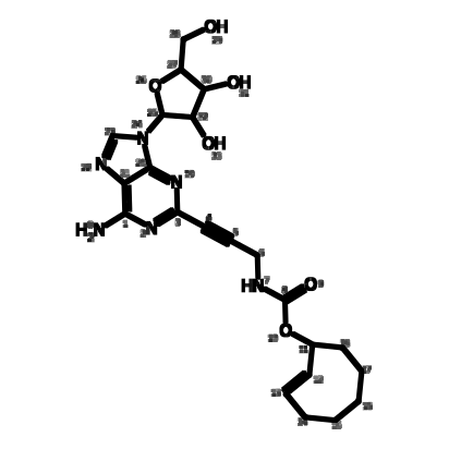 Nc1nc(C#CCNC(=O)OC2/C=C/CCCCC2)nc2c1ncn2C1OC(CO)C(O)C1O